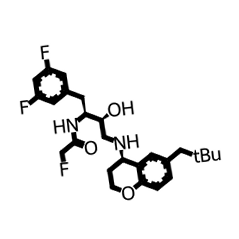 CC(C)(C)Cc1ccc2c(c1)[C@H](NC[C@H](O)[C@H](Cc1cc(F)cc(F)c1)NC(=O)CF)CCO2